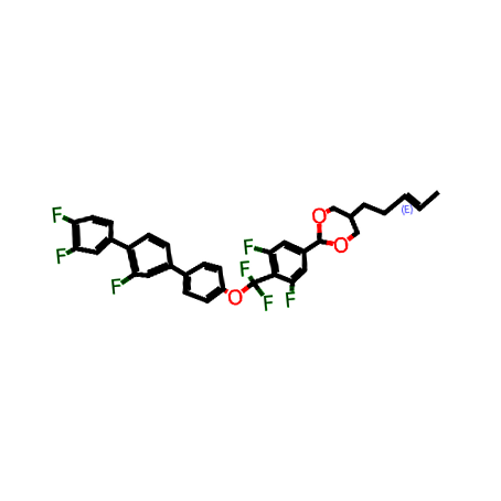 C/C=C/CCC1COC(c2cc(F)c(C(F)(F)Oc3ccc(-c4ccc(-c5ccc(F)c(F)c5)c(F)c4)cc3)c(F)c2)OC1